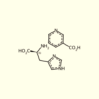 N[C@@H](Cc1c[nH]cn1)C(=O)O.O=C(O)c1cccnc1